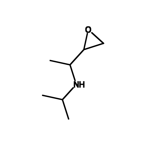 CC(C)NC(C)C1CO1